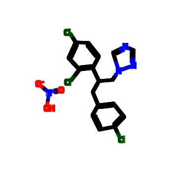 Clc1ccc(CC(Cn2cncn2)c2ccc(Cl)cc2Cl)cc1.O=[N+]([O-])O